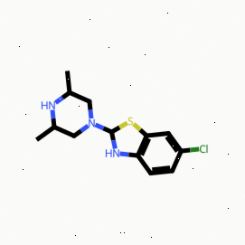 CC1CN(C2Nc3ccc(Cl)cc3S2)CC(C)N1